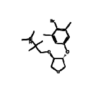 Cc1cc(O[C@@H]2COC[C@H]2OCC(C)(C)[SiH](C)C)cc(C)c1Br